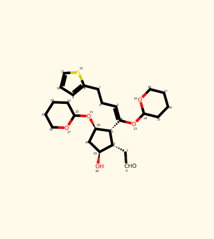 O=CC[C@H]1[C@@H](C(=CCCc2cccs2)OC2CCCCO2)[C@H](OC2CCCCO2)C[C@@H]1O